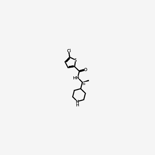 C[C@H](NC(=O)c1ccc(Cl)s1)C1CCNCC1